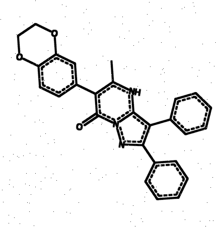 Cc1[nH]c2c(-c3ccccc3)c(-c3ccccc3)nn2c(=O)c1-c1ccc2c(c1)OCCO2